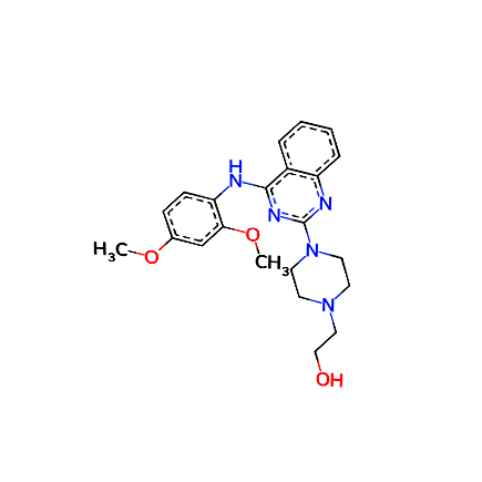 COc1ccc(Nc2nc(N3CCN(CCO)CC3)nc3ccccc23)c(OC)c1